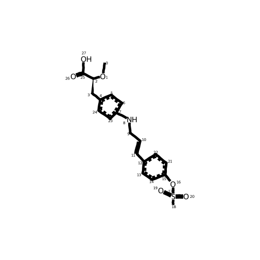 CO[C@@H](Cc1ccc(NCC=Cc2ccc(OS(C)(=O)=O)cc2)cc1)C(=O)O